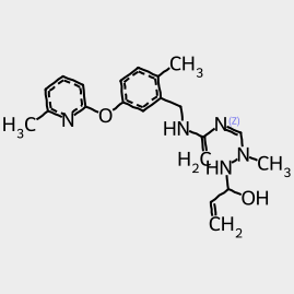 C=CC(O)NN(C)/C=N\C(=C)NCc1cc(Oc2cccc(C)n2)ccc1C